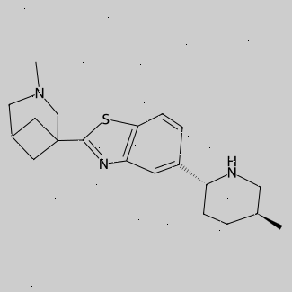 C[C@H]1CC[C@H](c2ccc3sc(C45CC(CN(C)C4)C5)nc3c2)NC1